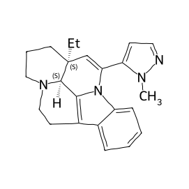 CC[C@@]12C=C(c3ccnn3C)n3c4c(c5ccccc53)CCN(CCC1)[C@H]42